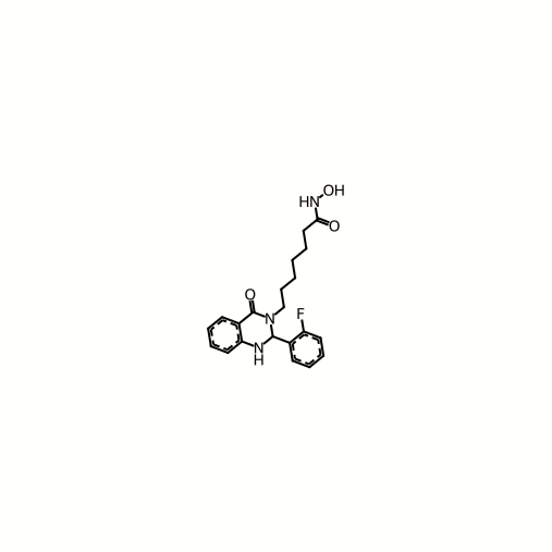 O=C(CCCCCCN1C(=O)c2ccccc2NC1c1ccccc1F)NO